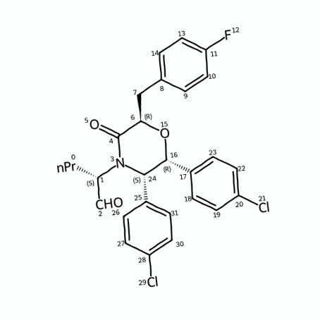 CCC[C@@H](C=O)N1C(=O)[C@@H](Cc2ccc(F)cc2)O[C@H](c2ccc(Cl)cc2)[C@@H]1c1ccc(Cl)cc1